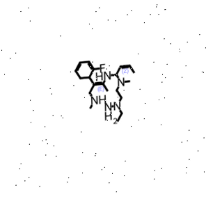 C/C=C\C(N/C(C)=C(/CNC)C1CC=CC=C1F)N(C)CCN(N)CC